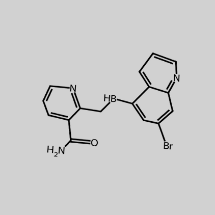 NC(=O)c1cccnc1CBc1cc(Br)cc2ncccc12